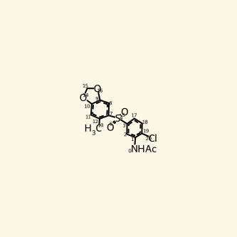 CC(=O)Nc1cc(S(=O)(=O)c2cc3c(cc2C)OCO3)ccc1Cl